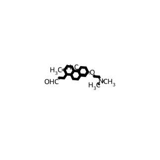 C[C@@H]1CCC2C(CCC3=C[C@@H](OCCN(C)C)CC[C@@]32C)C1CCC=O